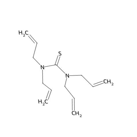 C=CCN(CC=C)C(=S)N(CC=C)CC=C